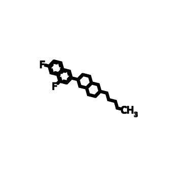 CCCCCC1CCC2CC(c3cc(F)c4cc(F)ccc4c3)CCC2C1